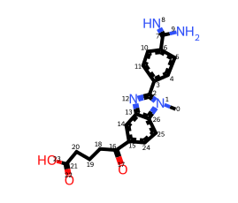 Cn1c(-c2ccc(C(=N)N)cc2)nc2cc(C(=O)CCCC(=O)O)ccc21